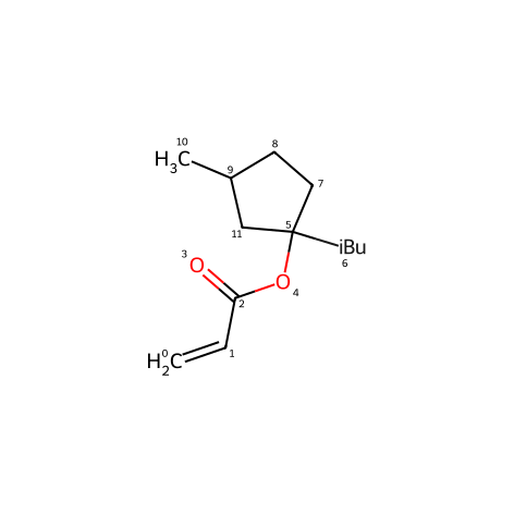 C=CC(=O)OC1(C(C)CC)CCC(C)C1